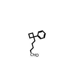 O=CCCCCC1(c2ccccc2)CCC1